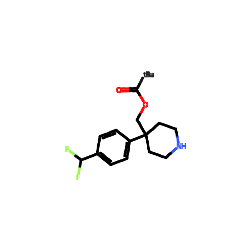 CC(C)(C)C(=O)OCC1(c2ccc(C(F)F)cc2)CCNCC1